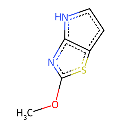 COc1nc2[nH]ccc2s1